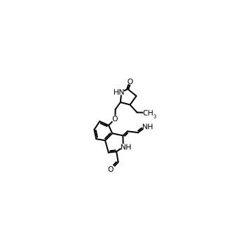 CCC1CC(=O)NC1COc1cccc2c1/C(=C/C=N)NC(C=O)=C2